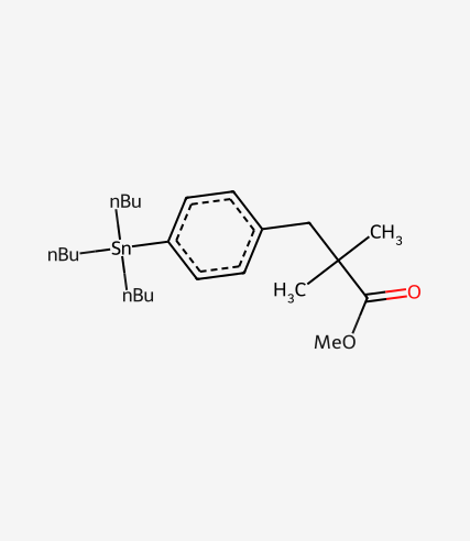 CCC[CH2][Sn]([CH2]CCC)([CH2]CCC)[c]1ccc(CC(C)(C)C(=O)OC)cc1